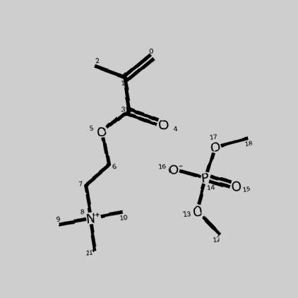 C=C(C)C(=O)OCC[N+](C)(C)C.COP(=O)([O-])OC